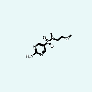 COCCN(C)S(=O)(=O)c1cnc(N)nc1